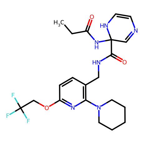 CCC(=O)NC1(C(=O)NCc2ccc(OCC(F)(F)F)nc2N2CCCCC2)C=NC=CN1